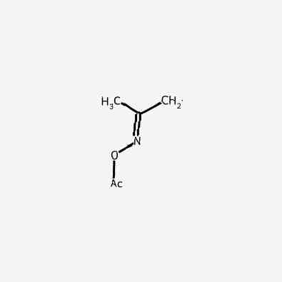 [CH2]C(C)=NOC(C)=O